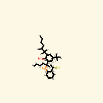 CCCCC(C)C(C)(C)c1cc(C(C)(C)C)cc(C(C)(CCCC)Pc2ccccc2C(C)S)c1O